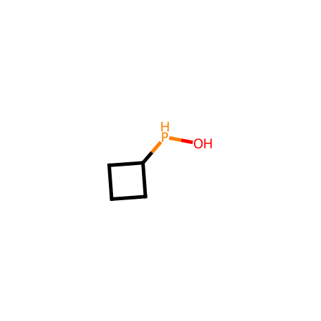 OPC1CCC1